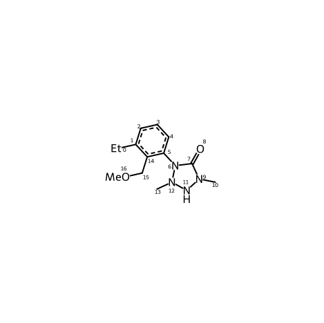 CCc1cccc(N2C(=O)N(C)NN2C)c1COC